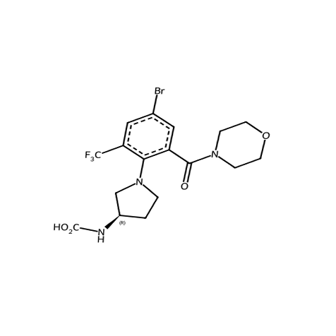 O=C(O)N[C@@H]1CCN(c2c(C(=O)N3CCOCC3)cc(Br)cc2C(F)(F)F)C1